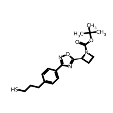 CC(C)(C)OC(=O)N1CC[C@H]1c1nc(-c2ccc(CCCS)cc2)no1